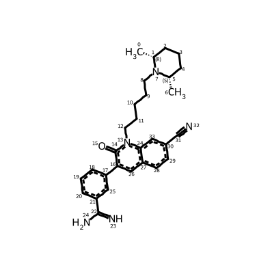 C[C@@H]1CCC[C@H](C)N1CCCCCn1c(=O)c(-c2cccc(C(=N)N)c2)cc2ccc(C#N)cc21